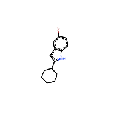 Brc1ccc2[nH]c(C3CCCCC3)cc2c1